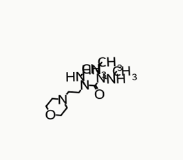 CNN(CCN1CCOCC1)C(=O)N(NC)NC